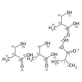 CC(C)C(=O)OS.CC(CS)C(=O)O.CC(CS)C(=O)O.CC(CS)C(=O)O